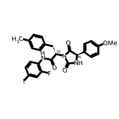 COc1ccc([C@H]2NC(=O)N([C@@H](Cc3ccc(C)cc3)C(=O)Nc3ccc(I)cc3F)C2=O)cc1